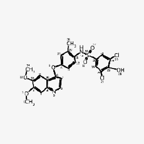 COc1cc2nccc(Oc3ccc(NS(=O)(=O)c4cc(Cl)c(O)c(Cl)c4)c(C)c3)c2cc1OC